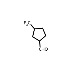 O=CC1CCC(C(F)(F)F)C1